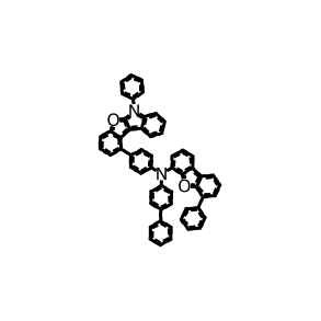 c1ccc(-c2ccc(N(c3ccc(-c4cccc5oc6c(c7ccccc7n6-c6ccccc6)c45)cc3)c3cccc4c3oc3c(-c5ccccc5)cccc34)cc2)cc1